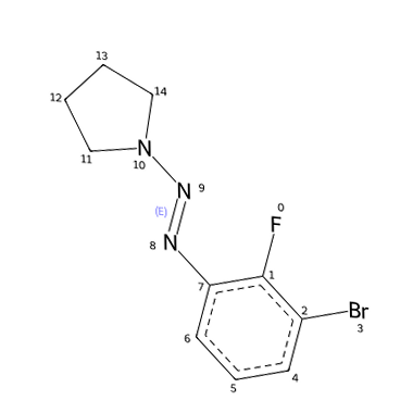 Fc1c(Br)cccc1/N=N/N1CCCC1